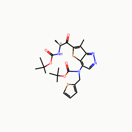 Cc1c(C(=O)[C@H](C)NC(=O)OC(C)(C)C)sc2c(N(Cc3cccs3)C(=O)OC(C)(C)C)cnnc12